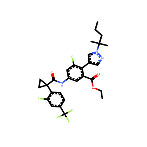 CCCC(C)(C)n1cc(-c2c(F)cc(NC(=O)C3(c4ccc(C(F)(F)F)cc4F)CC3)cc2C(=O)OCC)cn1